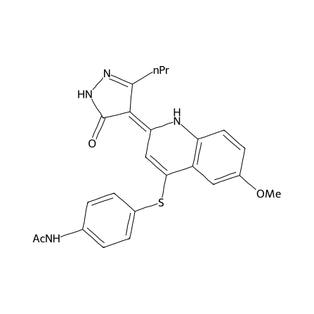 CCCC1=NNC(=O)C1=C1C=C(Sc2ccc(NC(C)=O)cc2)c2cc(OC)ccc2N1